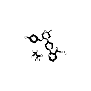 C[C@H]1CN(C2CCN(c3ncccc3C(N)=O)CC2)[C@@H](Cc2ccc(Cl)cc2)CO1.O=C(O)C(F)(F)F